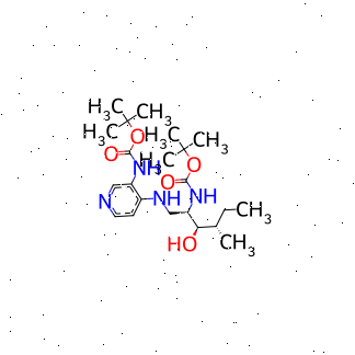 CC[C@H](C)[C@@H](O)[C@@H](CNc1ccncc1NC(=O)OC(C)(C)C)NC(=O)OC(C)(C)C